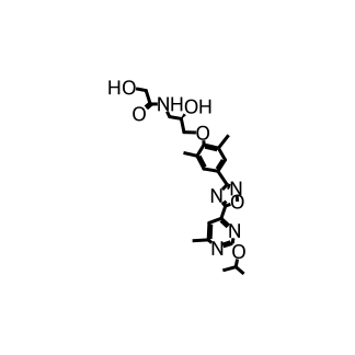 Cc1cc(-c2nc(-c3cc(C)c(OC[C@H](O)CNC(=O)CO)c(C)c3)no2)nc(OC(C)C)n1